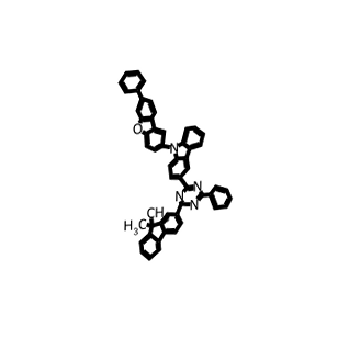 CC1(C)c2ccccc2-c2ccc(-c3nc(-c4ccccc4)nc(-c4ccc5c(c4)c4ccccc4n5-c4ccc5oc6cc(-c7ccccc7)ccc6c5c4)n3)cc21